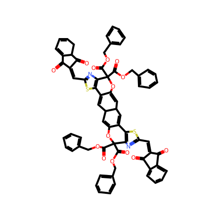 O=C1C2=CC=CCC2C(=O)/C1=C\c1nc2c(s1)C1=CC3C=C4OC(C(=O)OCc5ccccc5)(C(=O)OCc5ccccc5)c5nc(C=C6C(=O)c7ccccc7C6=O)sc5C4=CC3C=C1OC2(C(=O)OCc1ccccc1)C(=O)OCc1ccccc1